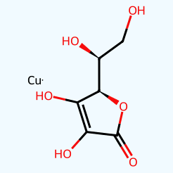 O=C1O[C@H]([C@@H](O)CO)C(O)=C1O.[Cu]